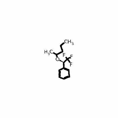 CCCC(C)O[C@H](c1ccccc1)C(F)(F)F